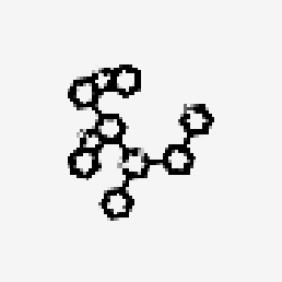 c1ccc(-c2cc(-c3cccc(-c4cccnc4)c3)nc(-c3ccc(-c4cccc5sc6ccccc6c45)c4oc5ccccc5c34)n2)cc1